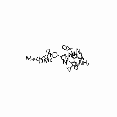 COC(COC(=O)N1CCC(c2cnc(-c3c(-c4nn(C5(C)COC5)c5ncnc(N)c45)noc3C3CC3)nc2)CC1)OC